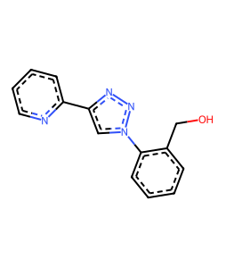 OCc1ccccc1-n1cc(-c2ccccn2)nn1